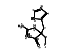 CC(=O)NC(CF)(Cc1cnc[nH]1)C(=O)O